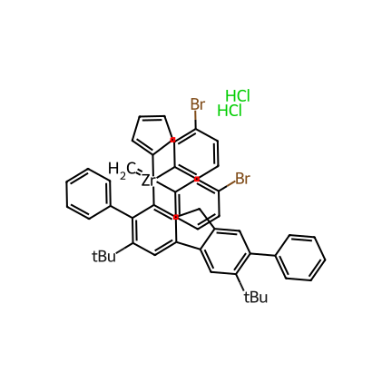 Cl.Cl.[CH2]=[Zr]([C]1=CC=CC1)([c]1cccc(Br)c1)([c]1cccc(Br)c1)[c]1c2c(cc(C(C)(C)C)c1-c1ccccc1)-c1cc(C(C)(C)C)c(-c3ccccc3)cc1C2